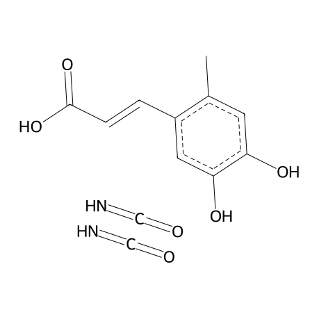 Cc1cc(O)c(O)cc1C=CC(=O)O.N=C=O.N=C=O